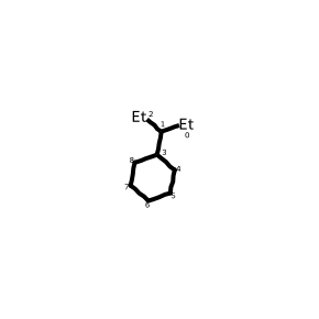 [CH2]CC(C[CH2])C1CCCCC1